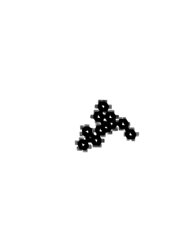 c1ccc(-c2cccc(-c3ccc(N(c4ccc(-c5cccc6c5c5ccccc5n6-c5ccccc5)cc4)c4cccc(-c5ccccc5)c4-c4ccccc4-c4ccccc4)cc3)c2)cc1